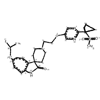 CS(=O)(=O)C1(c2ncc(OCCN3CCC4(CC3)C(=O)Nc3ccc(OC(F)F)cc34)cn2)CC1